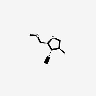 C#C[C@H]1[C@H](I)CO[C@@H]1COC